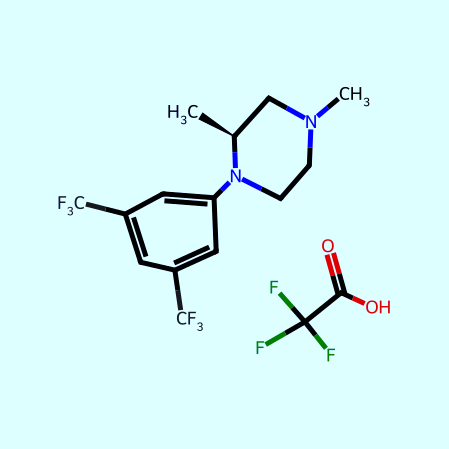 C[C@H]1CN(C)CCN1c1cc(C(F)(F)F)cc(C(F)(F)F)c1.O=C(O)C(F)(F)F